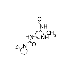 CC1NC=C(NC(=O)CN2CCCC23CC3)C=C1NC=O